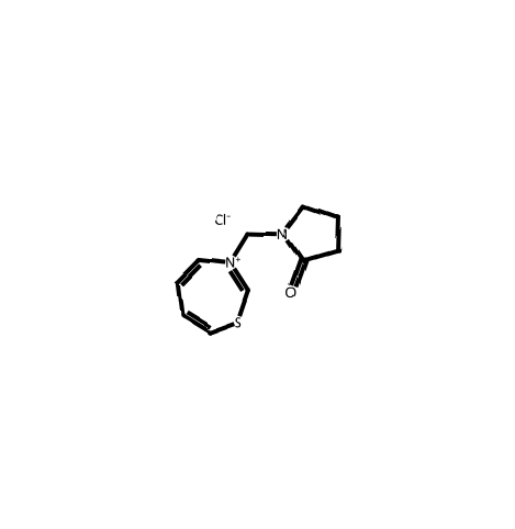 O=C1CCCN1C[N+]1=CSC=CC=C1.[Cl-]